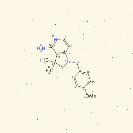 COc1ccc(CN2CC(C)(C(F)(F)F)c3c2ccnc3N)cc1